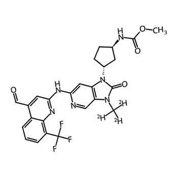 [2H]C([2H])([2H])n1c(=O)n([C@@H]2CC[C@@H](NC(=O)OC)C2)c2cc(Nc3cc(C=O)c4cccc(C(F)(F)F)c4n3)ncc21